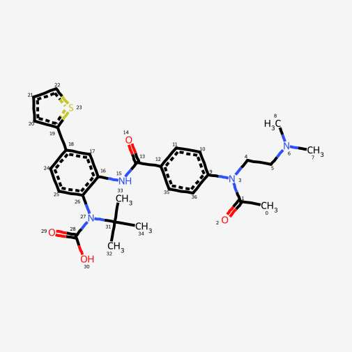 CC(=O)N(CCN(C)C)c1ccc(C(=O)Nc2cc(-c3cccs3)ccc2N(C(=O)O)C(C)(C)C)cc1